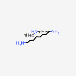 CCCCCCNCCCCCC.NCCCCCCCCN